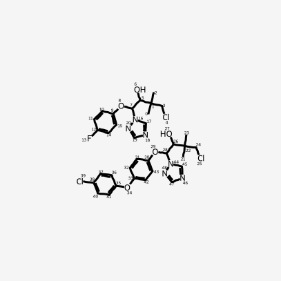 CC(C)(CCl)C(O)C(Oc1ccc(F)cc1)n1cncn1.CC(C)(CCl)C(O)C(Oc1ccc(Oc2ccc(Cl)cc2)cc1)n1cncn1